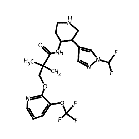 CC(C)(COc1ncccc1OC(F)(F)F)C(=O)NC1CCNCC1c1cnn(C(F)F)c1